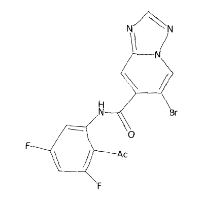 CC(=O)c1c(F)cc(F)cc1NC(=O)c1cc2ncnn2cc1Br